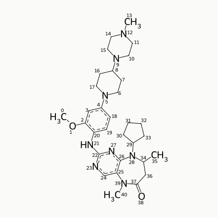 COc1cc(N2CCC(N3CCN(C)CC3)CC2)ccc1Nc1ncc2c(n1)N(C1CCCC1)C(C)CC(=O)N2C